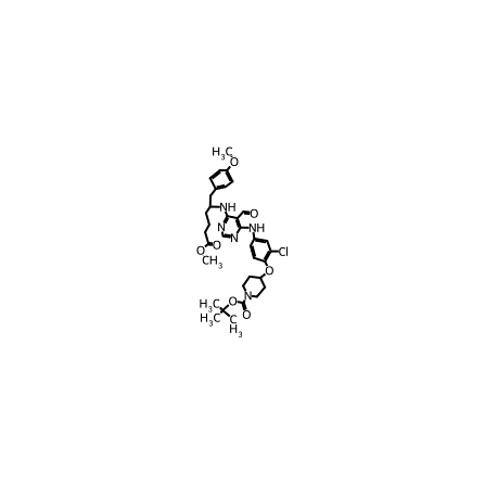 COC(=O)CCCC(Cc1ccc(OC)cc1)Nc1ncnc(Nc2ccc(OC3CCN(C(=O)OC(C)(C)C)CC3)c(Cl)c2)c1C=O